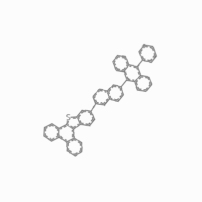 c1ccc(-c2c3ccccc3c(-c3ccc4cc(-c5ccc6c(c5)sc5c7ccccc7c7ccccc7c65)ccc4c3)c3ccccc23)cc1